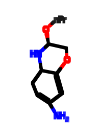 CCCO[C@H]1COC2=CC(N)=CCC2N1